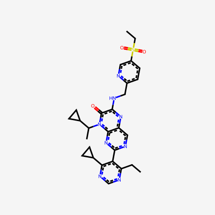 CCc1ncnc(C2CC2)c1-c1ncc2nc(NCc3ccc(S(=O)(=O)CC)cn3)c(=O)n(C(C)C3CC3)c2n1